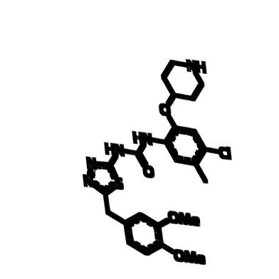 COc1ccc(Cc2nnc(NC(=O)Nc3cc(C)c(Cl)cc3OC3CCNCC3)s2)cc1OC